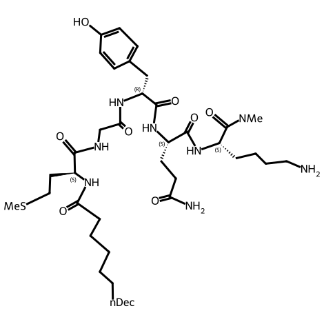 CCCCCCCCCCCCCCCC(=O)N[C@@H](CCSC)C(=O)NCC(=O)N[C@H](Cc1ccc(O)cc1)C(=O)N[C@@H](CCC(N)=O)C(=O)N[C@@H](CCCCN)C(=O)NC